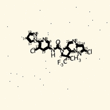 C[C@@]1(C(F)(F)F)CN(C(=O)Nc2cnc(-n3cccn3)c(Cl)c2)c2cnc3cc(Cl)nn3c21